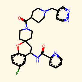 O=C(NC1CC2(CCN(C(=O)C3CCN(Cc4ccnnc4)CC3)CC2)Oc2ccc(F)cc21)c1ccccn1